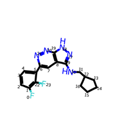 Fc1cccc(-c2cc3c(NCC4CCCC4)n[nH]c3nn2)c1F